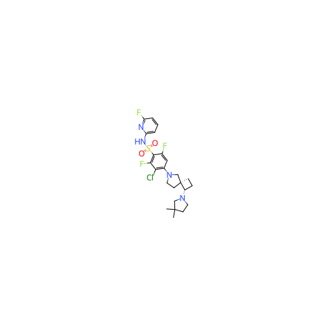 CC1(C)CCN([C@H]2CC[C@@]23CCN(c2cc(F)c(S(=O)(=O)Nc4cccc(F)n4)c(F)c2Cl)C3)C1